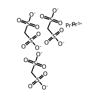 O=S(=O)([O-])CS(=O)(=O)[O-].O=S(=O)([O-])CS(=O)(=O)[O-].O=S(=O)([O-])CS(=O)(=O)[O-].[Pr+3].[Pr+3]